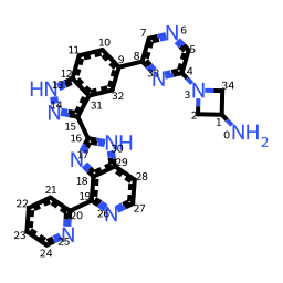 NC1CN(c2cncc(-c3ccc4[nH]nc(-c5nc6c(-c7ccccn7)nccc6[nH]5)c4c3)n2)C1